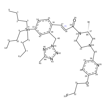 CCC[CH2][Sn]([CH2]CCC)([CH2]CCC)[c]1ccc(/C=C/C(=O)N2CCN(Cc3ccc(OCCF)cn3)C[C@H]2C)c(Cn2nnc(C)n2)c1